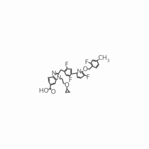 Cc1ccc(COc2nc(-c3cc(F)c(Cc4nc5ccc(C(=O)O)cc5n4CCOC4CC4)cc3F)ccc2F)c(F)c1